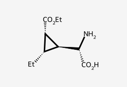 CCOC(=O)[C@H]1[C@@H](CC)[C@@H]1[C@H](N)C(=O)O